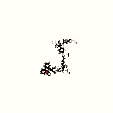 CNCCCN(C)C(=O)c1ccc(NCCCCCC(=O)N(C)CCN2CCC(N(C(=O)O)c3ccccc3-c3ccccc3)CC2)cc1